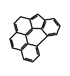 C1=C2CC=c3ccc4cccc5c6cccc1c6c2c3c45